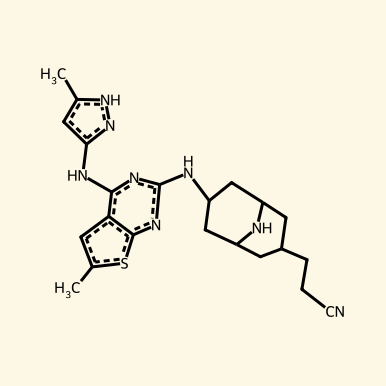 Cc1cc(Nc2nc(NC3CC4CC(CCC#N)CC(C3)N4)nc3sc(C)cc23)n[nH]1